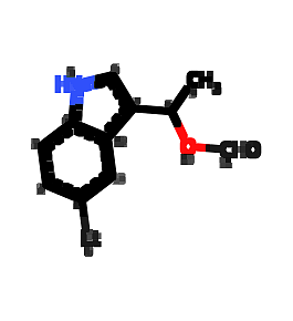 CCc1ccc2[nH]cc(C(C)OC=O)c2c1